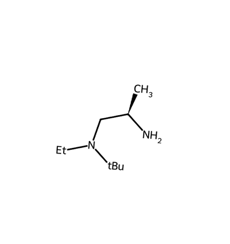 CCN(C[C@@H](C)N)C(C)(C)C